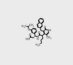 CCCCC(C(=O)N[C@@H](CC(=O)O)c1cccc(OC(C)C)c1)c1c(C)c[nH]c(=O)c1Cc1ccc2ccccc2c1